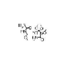 COCNC(N)=O.CON(C(N)=O)C(OC)(OC)OC